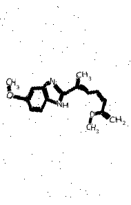 C=C(/C=C\C=C(/C)c1nc2cc(OC)ccc2[nH]1)OC